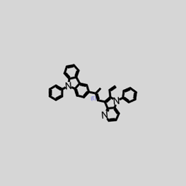 C=Cc1c(/C=C(\C)c2ccc3c(c2)c2ccccc2n3-c2ccccc2)c2ncccc2n1-c1ccccc1